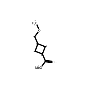 COC(=O)C1CC(COC(F)(F)F)C1